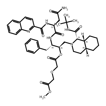 COC(=O)COCC(=O)O[C@H](CN1CC[C@H]2CCCC[C@H]2[C@H]1C(=O)NC(C)(C)C)[C@H](Cc1ccccc1)NC(=O)[C@H](CC(N)=O)NC(=O)c1ccc2ccccc2n1